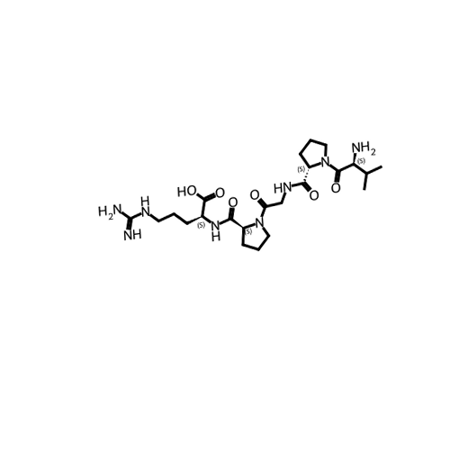 CC(C)[C@H](N)C(=O)N1CCC[C@H]1C(=O)NCC(=O)N1CCC[C@H]1C(=O)N[C@@H](CCCNC(=N)N)C(=O)O